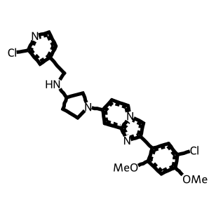 COc1cc(OC)c(-c2cn3ccc(N4CCC(NCc5ccnc(Cl)c5)C4)cc3n2)cc1Cl